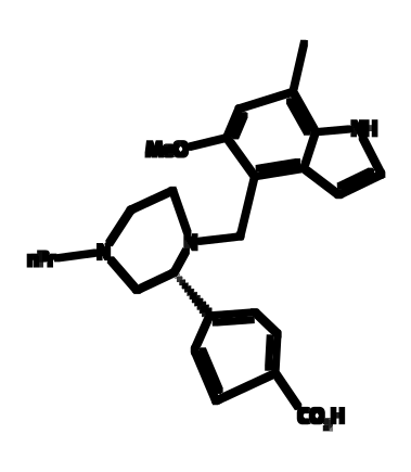 CCCN1CCN(Cc2c(OC)cc(C)c3[nH]ccc23)[C@H](c2ccc(C(=O)O)cc2)C1